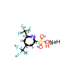 O=S(=O)(O)c1cc(C(F)(F)F)cc(C(F)(F)F)n1.[NaH]